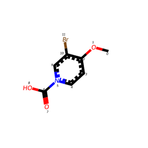 COc1cc[n+](C(=O)O)cc1Br